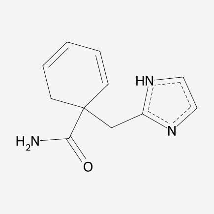 NC(=O)C1(Cc2ncc[nH]2)C=CC=CC1